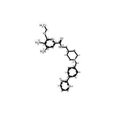 CCOc1nc(C(=O)NCC2CCN(Cc3ccc(-c4ncccn4)cc3)CC2)cc(N)c1N